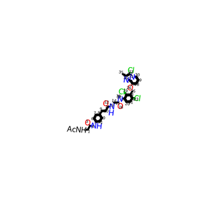 CC(=O)NCC(=O)Nc1ccc(C=CC(=O)NCC(=O)N(C)c2ccc(Cl)c(COc3cccn4c(Cl)c(C)nc34)c2Cl)cc1